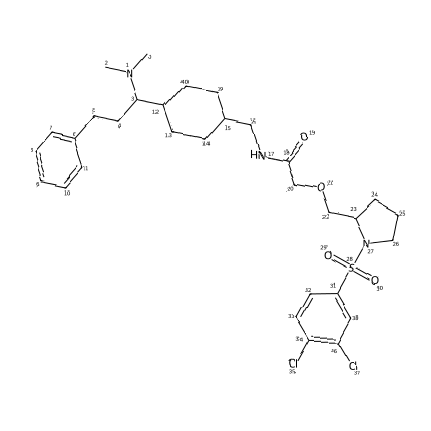 CN(C)C(CCc1ccccc1)C1CCC(CNC(=O)COCC2CCCN2S(=O)(=O)c2ccc(Cl)c(Cl)c2)CC1